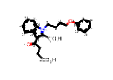 O=C(O)CCC(=O)c1c(C(=O)O)n(CCCCOc2ccccc2)c2ccccc12